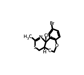 CC1=N[C@]2(C)c3cc(Br)ccc3OCC[C@@H]2CS1